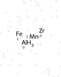 [AlH3].[Fe].[Mn].[Zr]